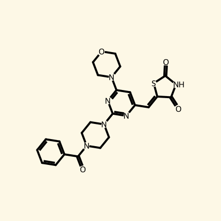 O=C1NC(=O)/C(=C/c2cc(N3CCOCC3)nc(N3CCN(C(=O)c4ccccc4)CC3)n2)S1